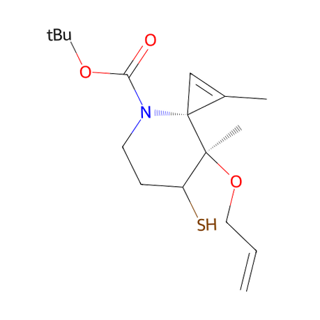 C=CCO[C@@]1(C)C(S)CCN(C(=O)OC(C)(C)C)[C@@]12C=C2C